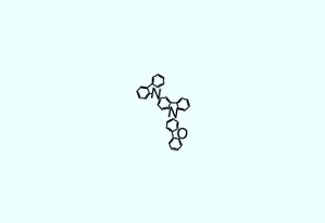 c1ccc2c(c1)oc1cc(-n3c4ccccc4c4cc(-n5c6ccccc6c6ccccc65)ccc43)ccc12